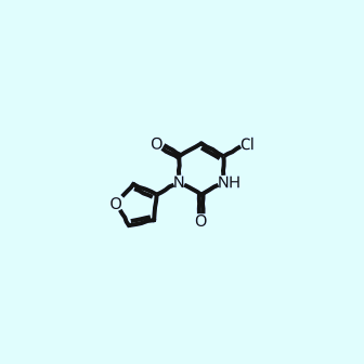 O=c1cc(Cl)[nH]c(=O)n1-c1ccoc1